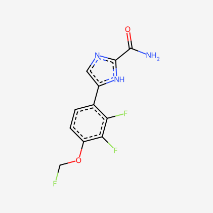 NC(=O)c1ncc(-c2ccc(OCF)c(F)c2F)[nH]1